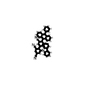 N#Cc1cc(C#N)c(-c2ccc(-c3c4ccccc4c(-c4ccccc4)c4ccccc34)c(C#N)c2)c(-n2c3ccccc3c3ccccc32)c1